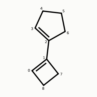 C1=C(C2=CCCC2)CC1